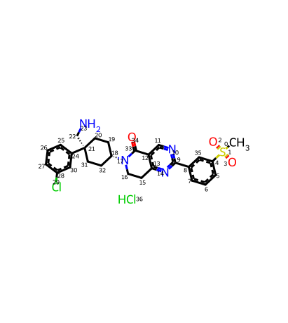 CS(=O)(=O)c1cccc(-c2ncc3c(n2)CCN([C@H]2CC[C@](CN)(c4cccc(Cl)c4)CC2)C3=O)c1.Cl